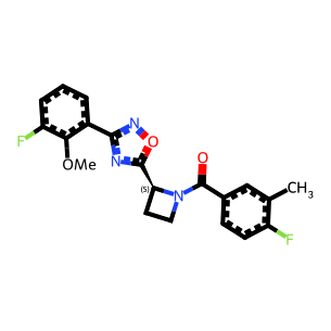 COc1c(F)cccc1-c1noc([C@@H]2CCN2C(=O)c2ccc(F)c(C)c2)n1